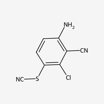 N#CSc1ccc(N)c(C#N)c1Cl